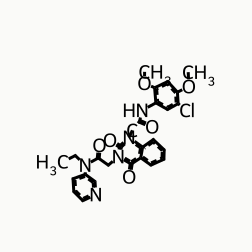 CCN(C(=O)Cn1c(=O)c2ccccc2n(CC(=O)Nc2cc(Cl)c(OC)cc2OC)c1=O)c1cccnc1